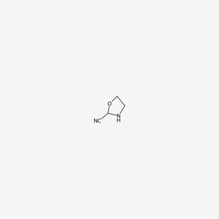 N#CC1NCCO1